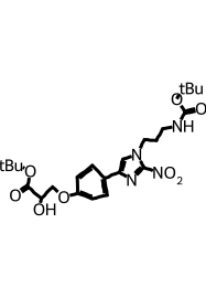 CC(C)(C)OC(=O)NCCCn1cc(-c2ccc(OCC(O)C(=O)OC(C)(C)C)cc2)nc1[N+](=O)[O-]